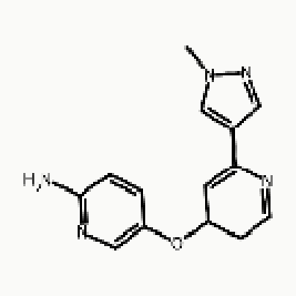 Cn1cc(C2=CC(Oc3ccc(N)nc3)CC=N2)cn1